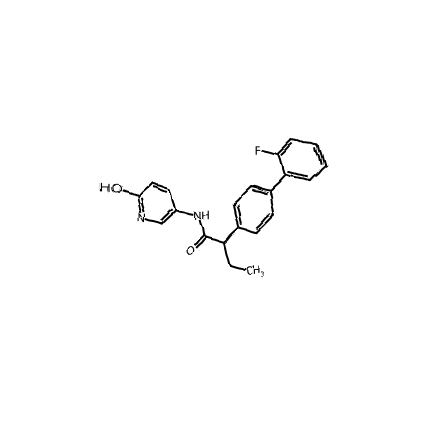 CCC(C(=O)Nc1ccc(O)nc1)c1ccc(-c2ccccc2F)cc1